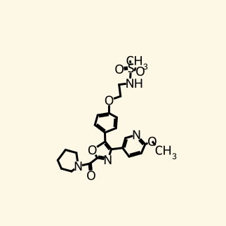 COc1ccc(-c2nc(C(=O)N3CCCCC3)oc2-c2ccc(OCCNS(C)(=O)=O)cc2)cn1